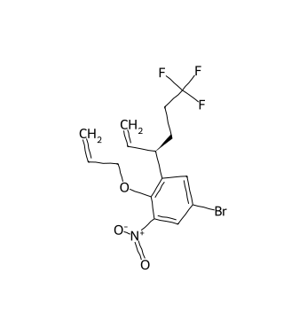 C=CCOc1c([C@@H](C=C)CCC(F)(F)F)cc(Br)cc1[N+](=O)[O-]